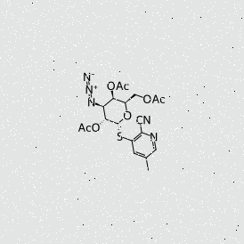 CC(=O)OC[C@H]1O[C@H](Sc2cc(C)cnc2C#N)[C@H](OC(C)=O)[C@@H](N=[N+]=[N-])[C@H]1OC(C)=O